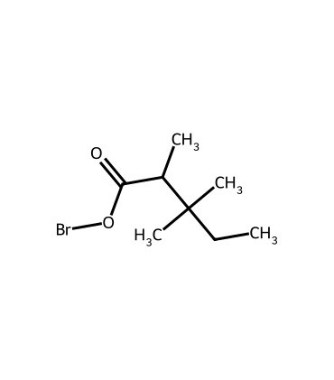 CCC(C)(C)C(C)C(=O)OBr